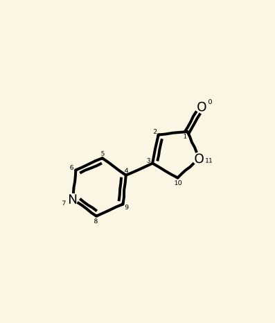 O=C1C=C(c2ccncc2)CO1